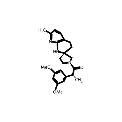 COc1cc(OC)cc([C@@H](C)C(=O)N2CC[C@@]3(CCc4ccc(C)nc4N3)C2)c1